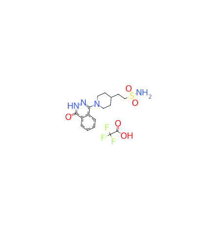 NS(=O)(=O)CCC1CCN(c2n[nH]c(=O)c3ccccc23)CC1.O=C(O)C(F)(F)F